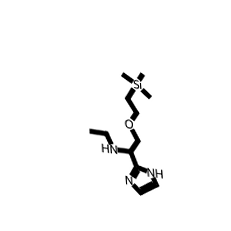 CCNC(COCC[Si](C)(C)C)c1ncc[nH]1